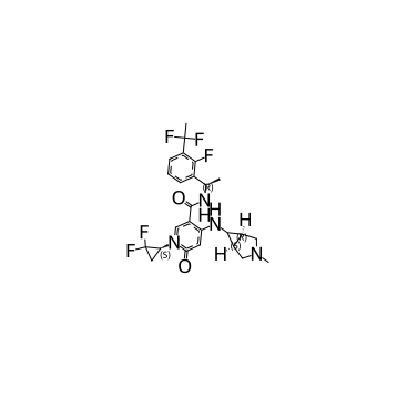 C[C@@H](NC(=O)c1cn([C@H]2CC2(F)F)c(=O)cc1NC1[C@H]2CN(C)C[C@@H]12)c1cccc(C(C)(F)F)c1F